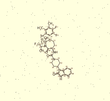 [2H]c1c(C)c(C)c(F)c(F)c1[C@@H]1CC[C@@H](NC(=O)N2CCC(n3c(=O)[nH]c4ncccc43)CC2)C(=O)N(C(C)C(F)(F)F)C1(C)C